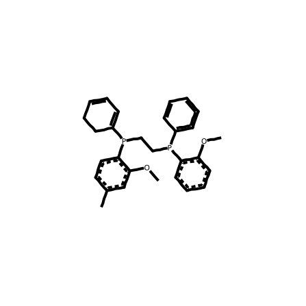 COc1ccccc1P(CCP(C1=CC=CCC1)c1ccc(C)cc1OC)C1=C=C=CC=C1